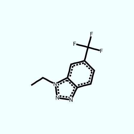 CCn1nnc2ccc(C(F)(F)F)cc21